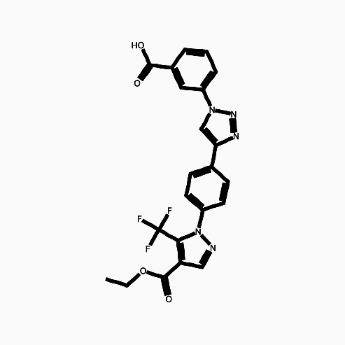 CCOC(=O)c1cnn(-c2ccc(-c3cn(-c4cccc(C(=O)O)c4)nn3)cc2)c1C(F)(F)F